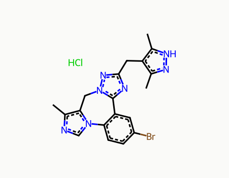 Cc1n[nH]c(C)c1Cc1nc2n(n1)Cc1c(C)ncn1-c1ccc(Br)cc1-2.Cl